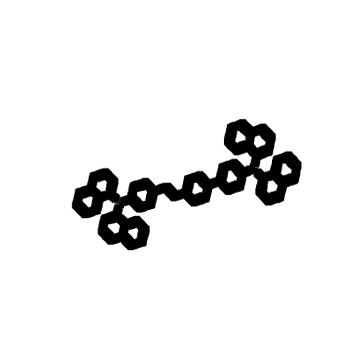 C(=Cc1ccc(N(c2cccc3ccccc23)c2cccc3ccccc23)cc1)c1ccc(-c2ccc(N(c3cccc4ccccc34)c3cccc4ccccc34)cc2)cc1